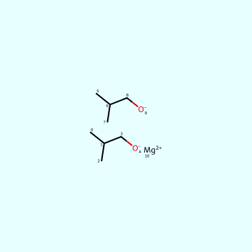 CC(C)C[O-].CC(C)C[O-].[Mg+2]